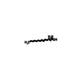 CCCCCCCCCCC[SiH2]OC(=O)O